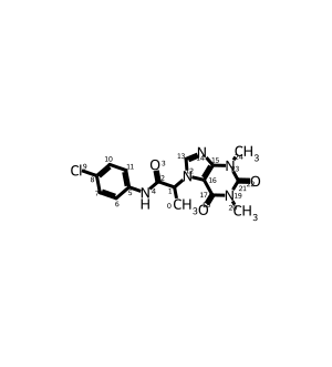 CC(C(=O)Nc1ccc(Cl)cc1)n1cnc2c1c(=O)n(C)c(=O)n2C